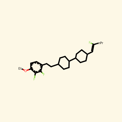 CCC/C(F)=C/C1CCC(C2CCC(CCc3ccc(OCC)c(F)c3F)CC2)CC1